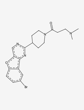 CN(C)CCC(=O)N1CCC(c2ncc3oc4ccc(Br)cc4c3n2)CC1